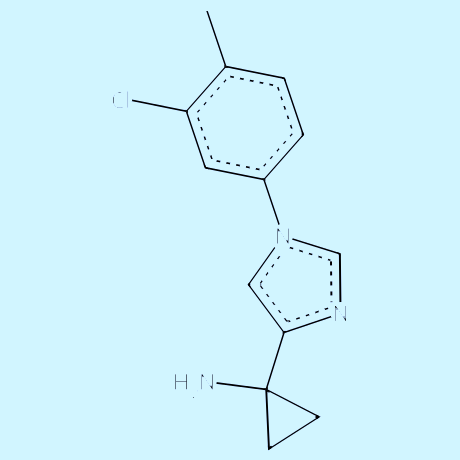 Cc1ccc(-n2cnc(C3(N)CC3)c2)cc1Cl